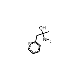 CC(N)(O)Cc1ccccn1